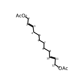 CC(=O)OCC=CCCCCCCC=CCOC(C)=O